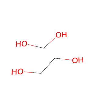 OCCO.OCO